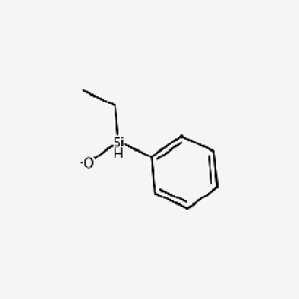 CC[SiH]([O])c1ccccc1